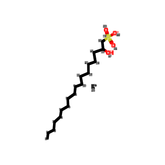 CCCCCCCCCCCCCCCCC(O)CS(=O)(=O)[O-].[K+]